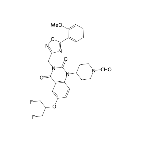 COc1ccccc1-c1nc(Cn2c(=O)c3cc(OC(CF)CF)ccc3n(C3CCN(C=O)CC3)c2=O)no1